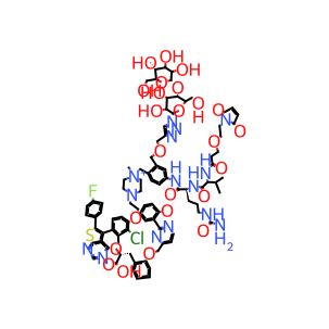 COc1ccccc1-c1nccc(COc2ccccc2C[C@@H](Oc2ncnc3sc(-c4ccc(F)cc4)c(-c4ccc(OCCN5CC[N+](C)(Cc6ccc(NC(=O)[C@H](CCCNC(N)=O)NC(=O)[C@@H](NC(=O)CCOCCN7C(=O)C=CC7=O)C(C)C)cc6COCc6cn([C@@H]7OC(CO)[C@@H](O[C@@H]8OC(CO)[C@H](O)C(O)C8O)C(O)C7O)nn6)CC5)c(Cl)c4C)c23)C(=O)O)n1